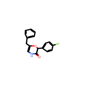 O=C1NC=C(Cc2ccccc2)OC1c1ccc(F)cc1